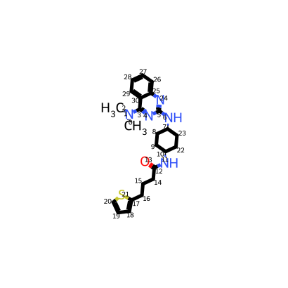 CN(C)c1nc(N[C@H]2CC[C@@H](NC(=O)CCCc3cccs3)CC2)nc2ccccc12